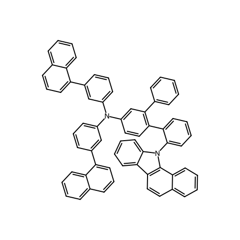 c1ccc(-c2cc(N(c3cccc(-c4cccc5ccccc45)c3)c3cccc(-c4cccc5ccccc45)c3)ccc2-c2ccccc2-n2c3ccccc3c3ccc4ccccc4c32)cc1